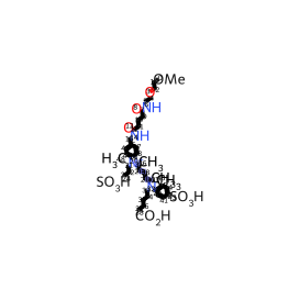 COCCOCCNC(=O)CCCC(=O)NCc1ccc(/[N+](CCCS(=O)(=O)O)=C(C)/C=C/C=C(\C)N(CCCCCC(=O)O)c2ccc(S(=O)(=O)O)cc2C)c(C)c1